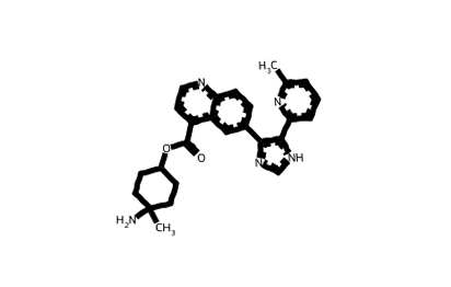 Cc1cccc(-c2[nH]cnc2-c2ccc3nccc(C(=O)OC4CCC(C)(N)CC4)c3c2)n1